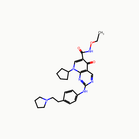 CCONC(=O)c1cn(C2CCCC2)c2nc(Nc3ccc(CCN4CCCC4)cc3)ncc2c1=O